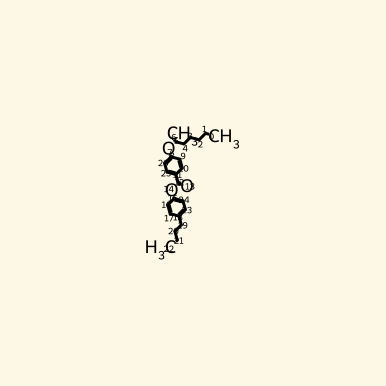 CCCCCC(C)Oc1ccc(C(=O)Oc2ccc(CCCC)cc2)cc1